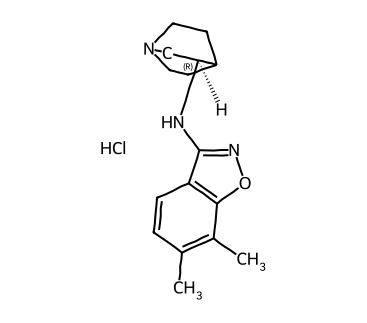 Cc1ccc2c(N[C@H]3CN4CCC3CC4)noc2c1C.Cl